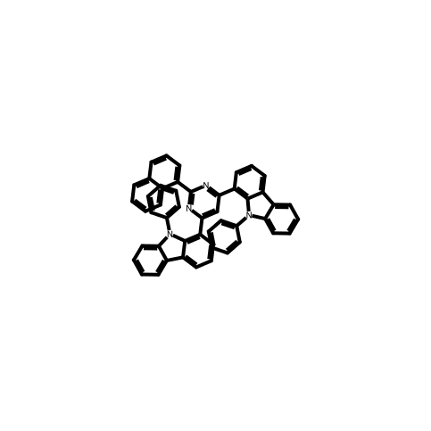 c1ccc(-n2c3ccccc3c3cccc(-c4cc(-c5cccc6c7ccccc7n(-c7ccccc7)c56)nc(-c5cccc6ccccc56)n4)c32)cc1